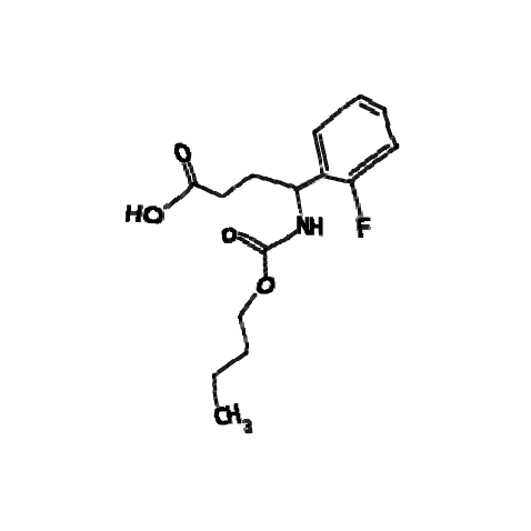 CCCCOC(=O)NC(CCC(=O)O)c1ccccc1F